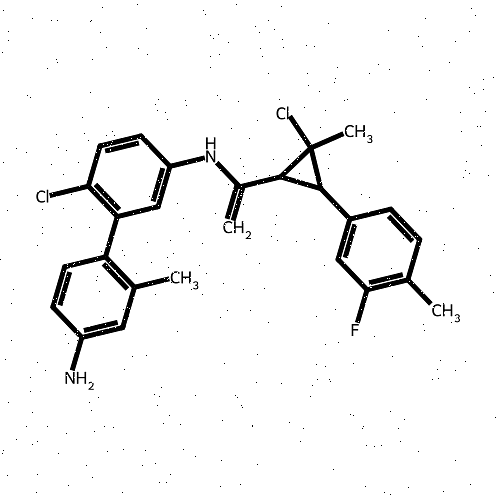 C=C(Nc1ccc(Cl)c(-c2ccc(N)cc2C)c1)C1C(c2ccc(C)c(F)c2)C1(C)Cl